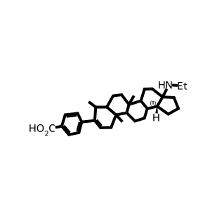 CCNC12CCC[C@@H]1C1CCC3C4(C)CC=C(c5ccc(C(=O)O)cc5)C(C)C4CCC3(C)C1CC2